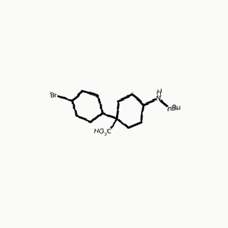 CCCCNC1CCC(C(=O)O)(C2CCC(Br)CC2)CC1